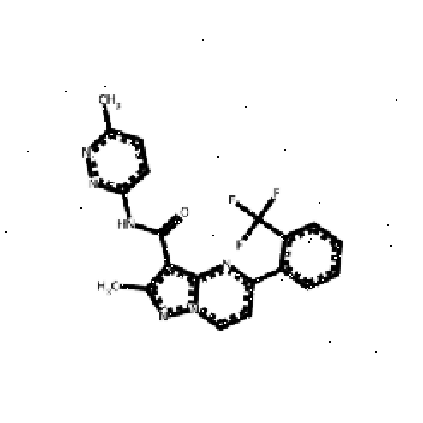 Cc1ccc(NC(=O)c2c(C)nn3ccc(-c4ccccc4C(F)(F)F)nc23)nn1